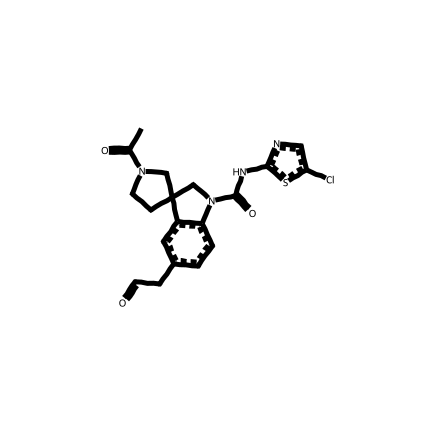 CC(=O)N1CCC2(C1)CN(C(=O)Nc1ncc(Cl)s1)c1ccc(CC=O)cc12